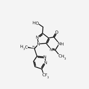 Cc1nc2c(c(CO)nn2[C@H](C)c2ccc(C(F)(F)F)nn2)c(=O)[nH]1